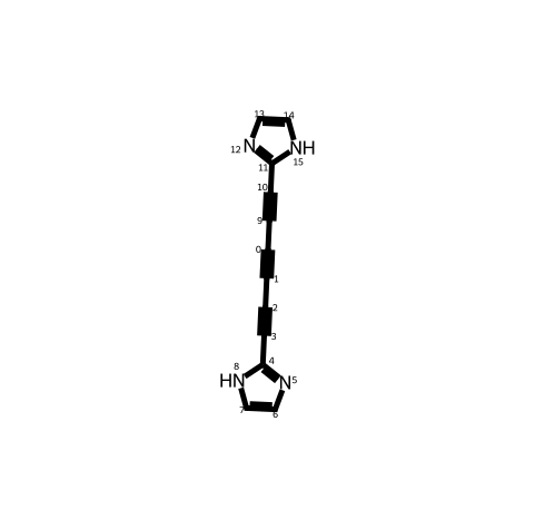 C(#CC#Cc1ncc[nH]1)C#Cc1ncc[nH]1